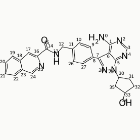 Nc1ncnc2c1c(-c1ccc(CNC(=O)c3cc4ccccc4cn3)cc1)nn2C1CCC(O)C1